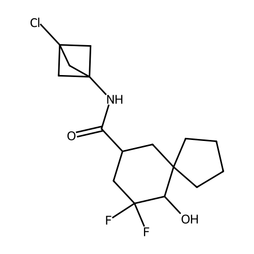 O=C(NC12CC(Cl)(C1)C2)C1CC(F)(F)C(O)C2(CCCC2)C1